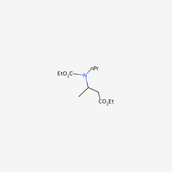 CCCN(C(=O)OCC)C(C)CC(=O)OCC